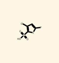 O=S(=O)(O)c1sc(F)cc1Cl